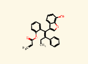 C=CC(=O)Oc1ccccc1/C(=C(\CC)c1ccccc1)c1coc2c(O)cccc12